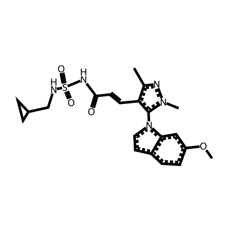 COc1ccc2ccn(-c3c(C=CC(=O)NS(=O)(=O)NCC4CC4)c(C)nn3C)c2c1